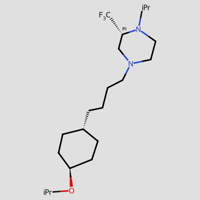 CC(C)O[C@H]1CC[C@H](CCCCN2CCN(C(C)C)[C@@H](C(F)(F)F)C2)CC1